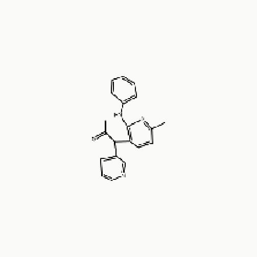 CC(=O)C(c1cccnc1)c1ccc(C)nc1Nc1ccccc1